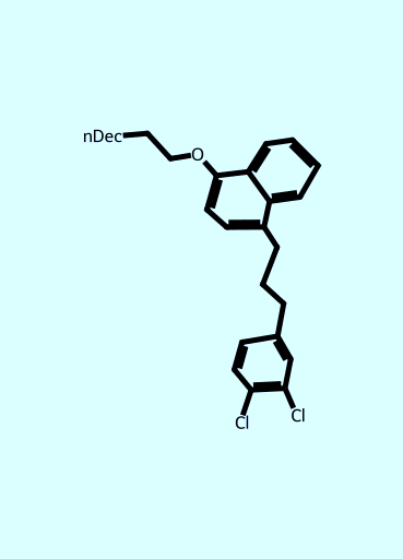 CCCCCCCCCCCCOc1ccc(CCCc2ccc(Cl)c(Cl)c2)c2ccccc12